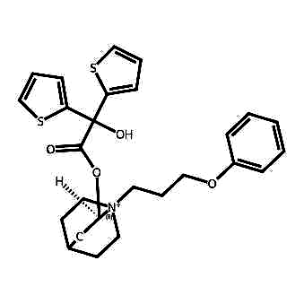 O=C(O[C@@H]1CC2CC[N+]1(CCCOc1ccccc1)CC2)C(O)(c1cccs1)c1cccs1